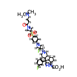 CN(C)C/C=C/C(=O)N1CC(S(=O)(=O)c2ccc(N3CC(F)(CN4CCC(C(C#N)(c5cccc(F)c5)[C@H]5CCC[C@@H]5NC(=O)O)CC4)C3)cc2)C1